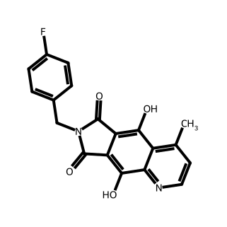 Cc1ccnc2c(O)c3c(c(O)c12)C(=O)N(Cc1ccc(F)cc1)C3=O